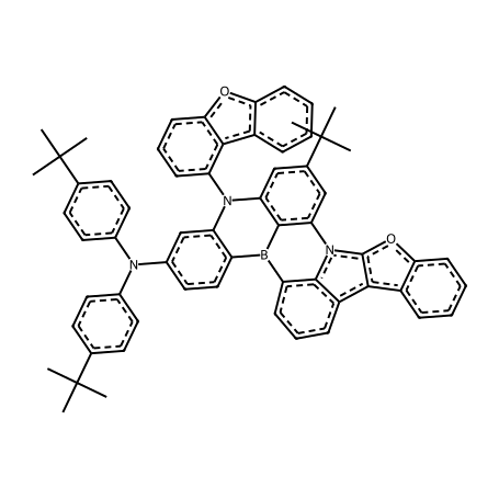 CC(C)(C)c1ccc(N(c2ccc(C(C)(C)C)cc2)c2ccc3c(c2)N(c2cccc4oc5ccccc5c24)c2cc(C(C)(C)C)cc4c2B3c2cccc3c5c6ccccc6oc5n-4c23)cc1